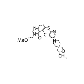 COCCn1cnc2ccc(Sc3ccc(N4CCC5(CC4)CO[C@@H](C)C5)cn3)c(Cl)c2c1=O